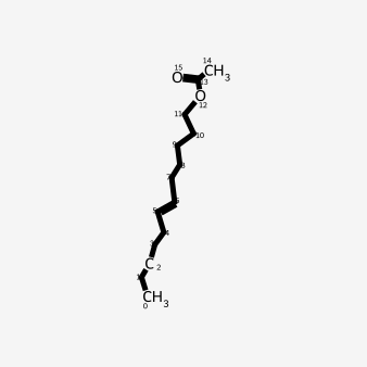 CCCCCC=CCCCCCOC(C)=O